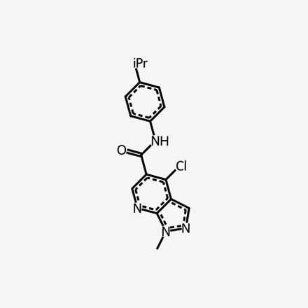 CC(C)c1ccc(NC(=O)c2cnc3c(cnn3C)c2Cl)cc1